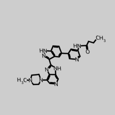 CCCC(=O)Nc1cncc(-c2ccc3[nH]nc(-c4nc5c(N6CCN(C)CC6)cncc5[nH]4)c3c2)c1